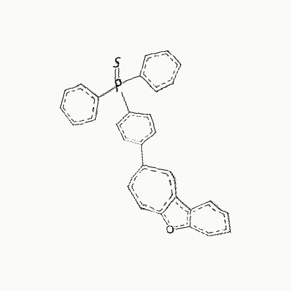 S=P(c1ccccc1)(c1ccccc1)c1ccc(-c2ccc3oc4ccccc4c3c2)cc1